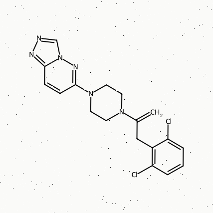 C=C(Cc1c(Cl)cccc1Cl)N1CCN(c2ccc3nncn3n2)CC1